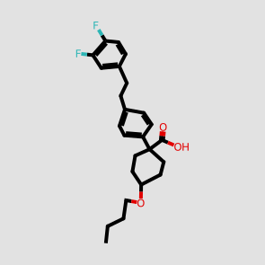 CCCCOC1CCC(C(=O)O)(c2ccc(CCc3ccc(F)c(F)c3)cc2)CC1